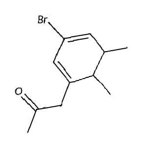 CC(=O)CC1=CC(Br)=CC(C)C1C